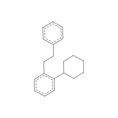 c1ccc(CCc2ccccc2C2CCCCC2)cc1